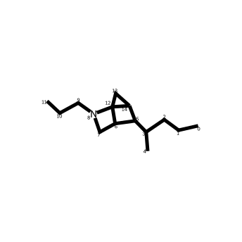 CCCC(C)C1C2CN(CCC)C23CC13